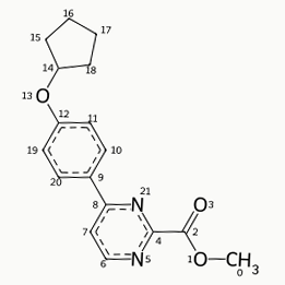 COC(=O)c1nccc(-c2ccc(OC3CCCC3)cc2)n1